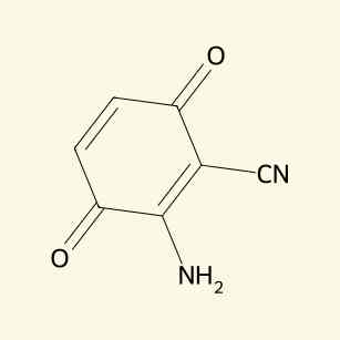 N#CC1=C(N)C(=O)C=CC1=O